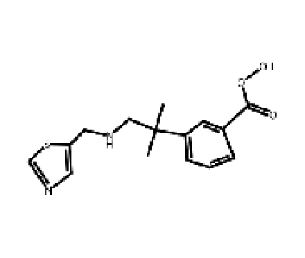 CC(C)(CNCc1cncs1)c1cccc(C(=O)OO)c1